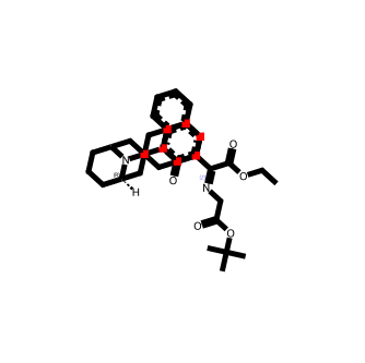 CCOC(=O)/C(=N\CC(=O)OC(C)(C)C)c1nc2ccccc2n(C2CC3CCC[C@H](C2)N3C2CC3CCCC(C3)C2)c1=O